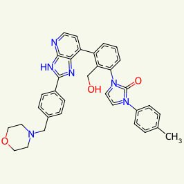 Cc1ccc(-n2ccn(-c3cccc(-c4ccnc5[nH]c(-c6ccc(CN7CCOCC7)cc6)nc45)c3CO)c2=O)cc1